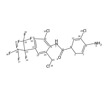 NC1=CCC(C(=O)Nc2c(Cl)cc(C(F)(C(F)(F)F)C(F)(F)F)cc2CCl)C=C1Cl